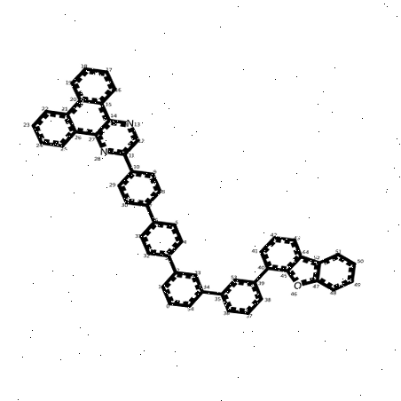 c1cc(-c2ccc(-c3ccc(-c4cnc5c6ccccc6c6ccccc6c5n4)cc3)cc2)cc(-c2cccc(-c3cccc4c3oc3ccccc34)c2)c1